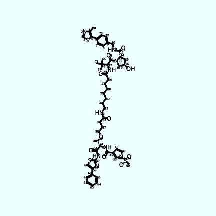 Cc1ncsc1-c1ccc(CNC(=O)[C@@H]2C[C@@H](O)CN2C(=O)[C@@H](NC(=O)CCCCCCCNC(=O)CCCOC[C@H](NC(=O)c2ccn(S(C)(=O)=O)c2)C(=O)Nc2nc(-c3ccccc3)cs2)C(C)(C)C)cc1